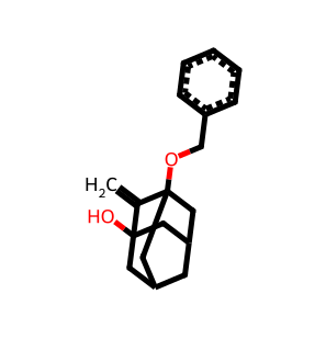 C=C1C2(O)CC3CC(C2)CC1(OCc1ccccc1)C3